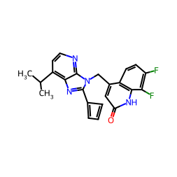 CC(C)c1ccnc2c1nc(C1=CC=C1)n2Cc1cc(=O)[nH]c2c(F)c(F)ccc12